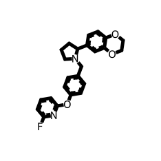 Fc1cccc(Oc2ccc(CN3CCCC3c3ccc4c(c3)OCCO4)cc2)n1